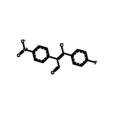 O=C/C(=C(/Cl)c1ccc(F)cc1)c1ccc([N+](=O)[O-])cc1